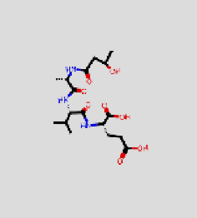 CC(O)CC(=O)N[C@@H](C)C(=O)N[C@H](C(=O)N[C@@H](CCC(=O)O)C(=O)O)C(C)C